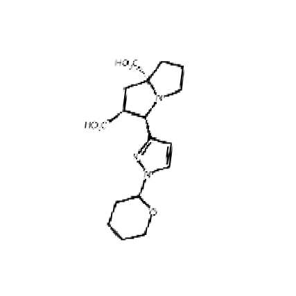 O=C(O)[C@H]1C[C@@]2(C(=O)O)CCCN2[C@H]1c1ccn(C2CCCCO2)n1